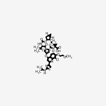 C=C[C@@H]1C[C@]1(NC(=O)[C@@H]1C[C@@H](Oc2cc(-c3csc(NC(C)C)n3)nc3c(Cl)c(OCCOC)ccc23)CN1C(=O)[C@@H](NC(=O)O[C@@H]1C[C@@H]2C[C@@H]2C1)C(C)(C)C)C(=O)O